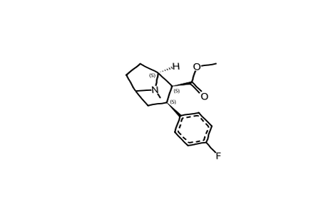 COC(=O)[C@H]1[C@@H](c2ccc(F)cc2)CC2CC[C@@H]1N2C